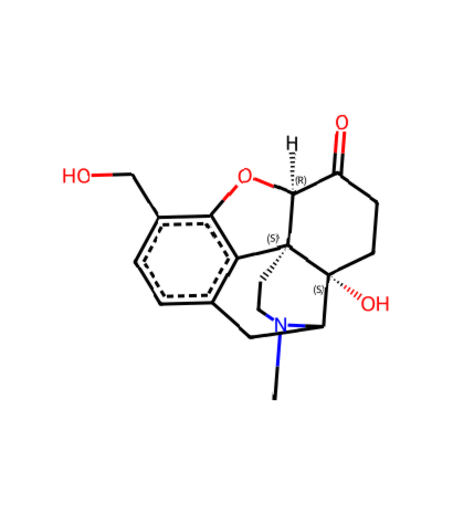 CN1CC[C@]23c4c5ccc(CO)c4O[C@H]2C(=O)CC[C@@]3(O)C1C5